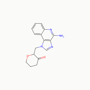 Nc1nc2ccccc2c2c1ncn2CC1OCCCC1=O